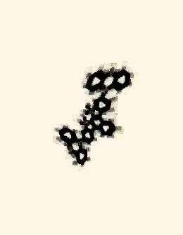 C[Si]1(C)c2cc(N3c4ccccc4Sc4ccccc43)ccc2-c2c1c1c(c3ccccc23)-c2ccc(N3c4ccccc4Sc4ccccc43)cc2[Si]1(C)C